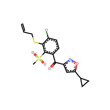 C=CCSc1c(Cl)ccc(C(=O)c2cc(C3CC3)on2)c1S(C)(=O)=O